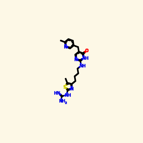 Cc1ccc(Cc2cnc(NCCCCc3nc(NC(=N)N)sc3C)[nH]c2=O)cn1